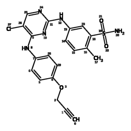 C#CCOc1ccc(Nc2nc(Nc3ccc(C)c(S(N)(=O)=O)c3)ncc2Cl)cc1